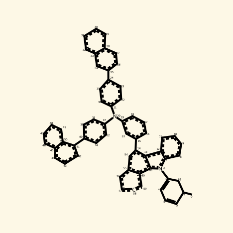 CC1C=CC=C(n2c3ccccc3c3c(-c4cccc(N(c5ccc(-c6ccc7ccccc7c6)cc5)c5ccc(-c6cccc7ccccc67)cc5)c4)cc4ccccc4c32)C1